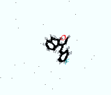 Fc1ccc(C=C2C=COc3ccc4ccccc4c32)cc1